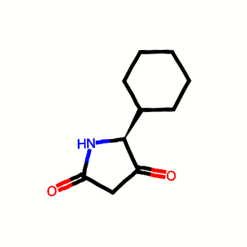 O=C1CC(=O)[C@H](C2CCCCC2)N1